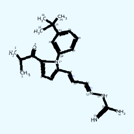 CC(C)C(=O)c1ccc(/C=C/C=N/NC(=N)N)n1-c1cccc(C(C)(C)C)c1